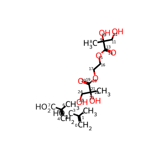 C=C(C)C(=O)O.C=C(C)C(=O)O.CC(O)(CO)C(=O)OCCOC(=O)C(C)(O)CO